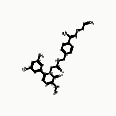 C=CCO/N=C(\N)c1ccc(CNC(=O)Cn2c(-c3cc(N)cc(C(F)(F)F)c3)cnc(NC(C)C)c2=O)cc1